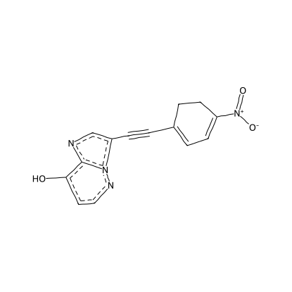 O=[N+]([O-])C1=CC=C(C#Cc2cnc3c(O)ccnn23)CC1